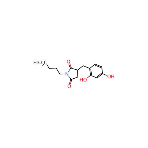 CCOC(=O)CCCN1C(=O)CC(Cc2ccc(O)cc2O)C1=O